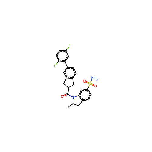 CC1Cc2ccc(S(N)(=O)=O)cc2N1C(=O)C1Cc2ccc(-c3cc(F)ccc3F)cc2C1